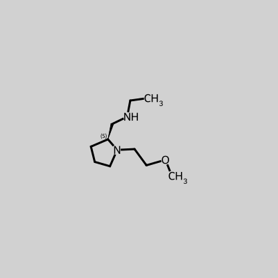 CCNC[C@@H]1CCCN1CCOC